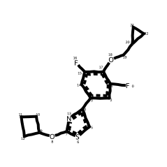 Fc1cc(-c2csc(OC3CCC3)n2)cc(F)c1OCC1CC1